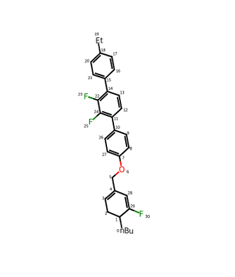 CCCCC1CC=C(COc2ccc(-c3ccc(-c4ccc(CC)cc4)c(F)c3F)cc2)C=C1F